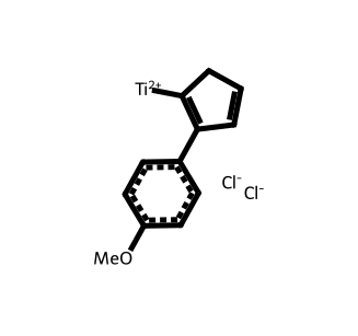 COc1ccc(C2=[C]([Ti+2])CC=C2)cc1.[Cl-].[Cl-]